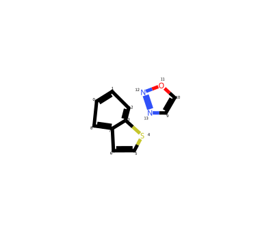 c1ccc2sccc2c1.c1conn1